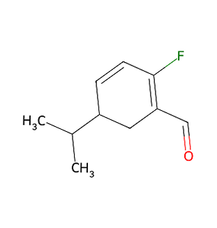 CC(C)C1C=CC(F)=C(C=O)C1